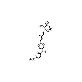 CC(=O)O[C@H](C)/C=C\C(=O)NC1CO[C@H](C/C=C(C)/C=C/[C@H]2OC(C)(C)C[C@@]3(CO3)[C@@H]2O)O[C@@H]1C